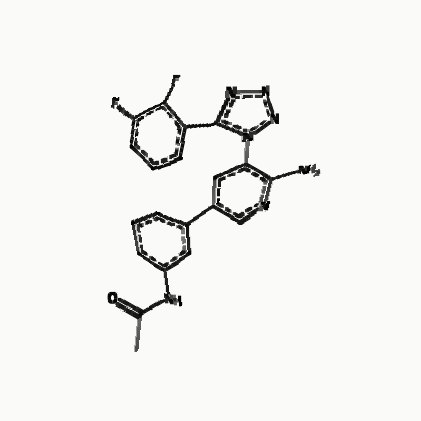 CC(=O)Nc1cccc(-c2cnc(N)c(-n3nnnc3-c3cccc(F)c3F)c2)c1